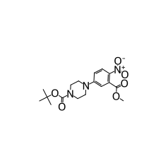 COC(=O)c1cc(N2CCN(C(=O)OC(C)(C)C)CC2)ccc1[N+](=O)[O-]